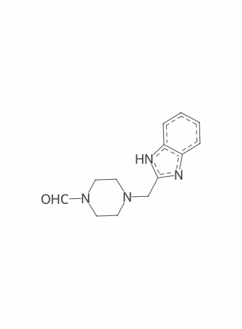 O=CN1CCN(Cc2nc3ccccc3[nH]2)CC1